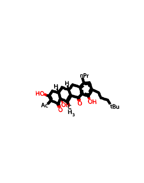 CCCc1cc(CCCC(C)(C)C)c(O)c2c1C[C@H]1C[C@H]3CC(O)=C(C(C)=O)C(=O)[C@@]3(O)C(C)=C1C2=O